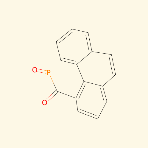 O=PC(=O)c1cccc2ccc3ccccc3c12